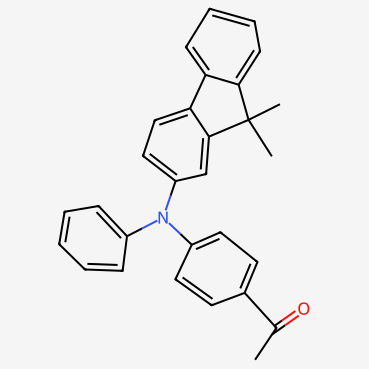 CC(=O)c1ccc(N(c2ccccc2)c2ccc3c(c2)C(C)(C)c2ccccc2-3)cc1